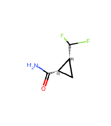 NC(=O)[C@H]1C[C@H]1C(F)F